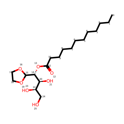 CCCCCCCCCCCC(=O)O[C@@H](C1OCCO1)[C@@H](O)[C@H](O)CO